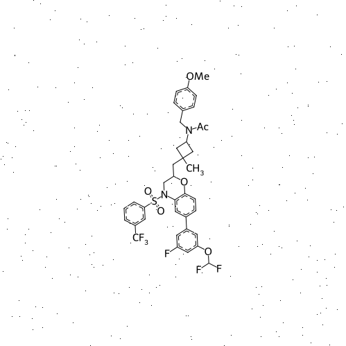 COc1ccc(CN(C(C)=O)C2CC(C)(CC3CN(S(=O)(=O)c4cccc(C(F)(F)F)c4)c4cc(-c5cc(F)cc(OC(F)F)c5)ccc4O3)C2)cc1